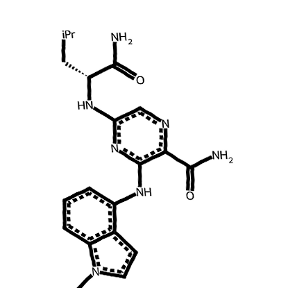 CC(C)C[C@@H](Nc1cnc(C(N)=O)c(Nc2cccc3c2ccn3C)n1)C(N)=O